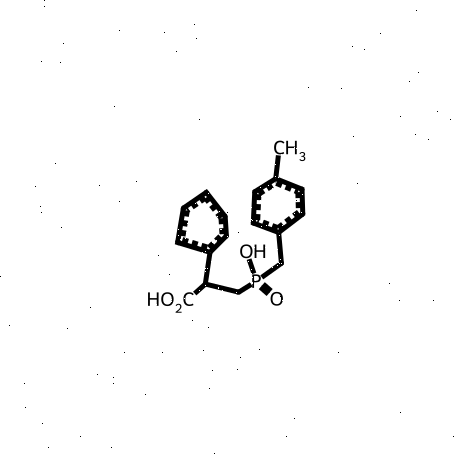 Cc1ccc(CP(=O)(O)CC(C(=O)O)c2ccccc2)cc1